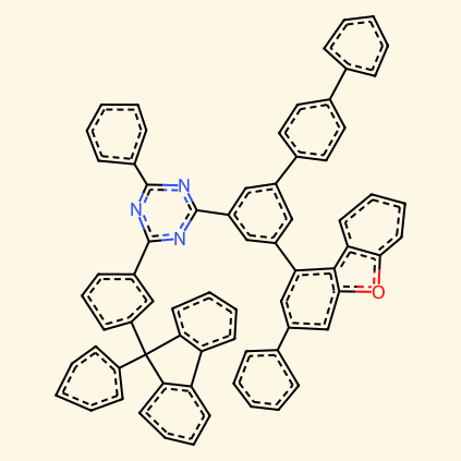 c1ccc(-c2ccc(-c3cc(-c4nc(-c5ccccc5)nc(-c5cccc(C6(c7ccccc7)c7ccccc7-c7ccccc76)c5)n4)cc(-c4cc(-c5ccccc5)cc5oc6ccccc6c45)c3)cc2)cc1